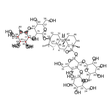 C=C1C[C@@]23CCC4[C@@](C)(C(=O)OC5OC(CO)C(O)C(OC6OC(CO)C(O)C(O)C6O)C5OC5OC(CO)C(O)C(O)C5O)CCC[C@@]4(C)[C@@H]2CC[C@]1(OC1OC(CO)C(O)C(OC2OC(CO)C(O)C(O)C2O)C1OC1OC(C)C(O)C(O)C1O)C3